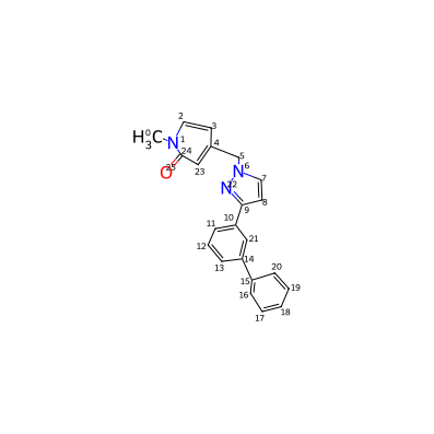 Cn1ccc(Cn2ccc(-c3cccc(-c4ccccc4)c3)n2)cc1=O